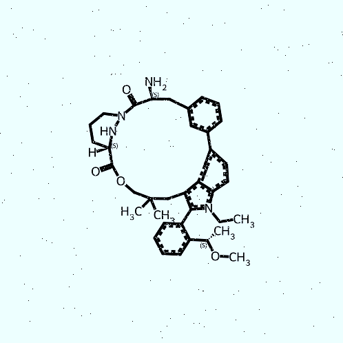 CCn1c(-c2ccccc2[C@H](C)OC)c2c3cc(ccc31)-c1cccc(c1)C[C@H](N)C(=O)N1CCC[C@H](N1)C(=O)OCC(C)(C)C2